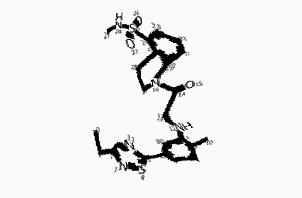 CCc1nsc(-c2ccc(C)c(NCC(=O)N3CCc4c3cccc4S(=O)(=O)NC)c2)n1